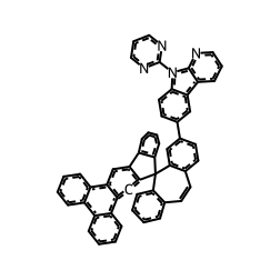 C1=Cc2ccc(-c3ccc4c(c3)c3cccnc3n4-c3ncccn3)cc2C2(c3ccccc31)c1ccccc1-c1cc3c4ccccc4c4ccccc4c3cc12